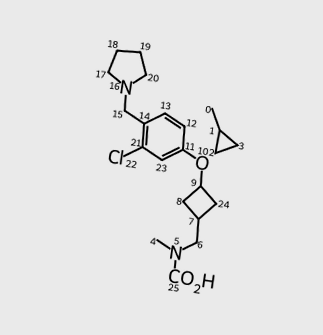 CC1CC1.CN(CC1CC(Oc2ccc(CN3CCCC3)c(Cl)c2)C1)C(=O)O